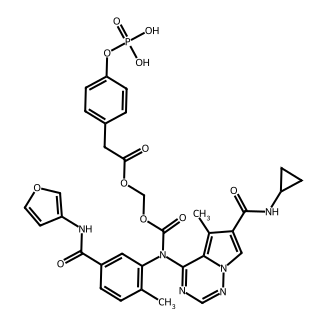 Cc1ccc(C(=O)Nc2ccoc2)cc1N(C(=O)OCOC(=O)Cc1ccc(OP(=O)(O)O)cc1)c1ncnn2cc(C(=O)NC3CC3)c(C)c12